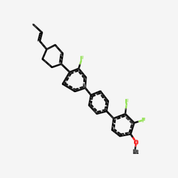 C/C=C/C1CC=C(c2ccc(-c3ccc(-c4ccc(OCC)c(F)c4F)cc3)cc2F)CC1